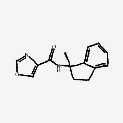 C[C@]1(NC(=O)c2cocn2)CCc2ccccc21